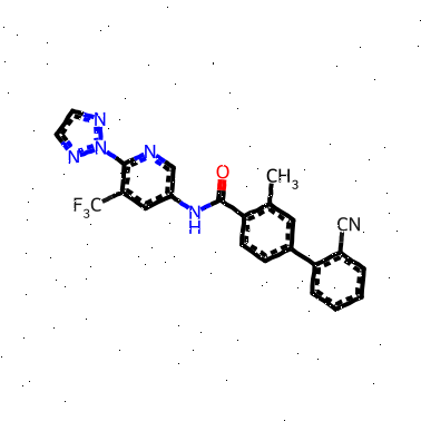 Cc1cc(-c2ccccc2C#N)ccc1C(=O)Nc1cnc(-n2nccn2)c(C(F)(F)F)c1